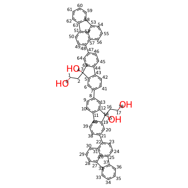 OCCC1(O)c2cc(-c3ccc4c(c3)C(O)(CCO)c3cc(-c5ccc6c7c(cccc57)-c5ccccc5-6)ccc3-4)ccc2-c2ccc(-c3ccc4c5c(cccc35)-c3ccccc3-4)cc21